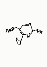 N#Cc1ccc(Br)nc1Cl